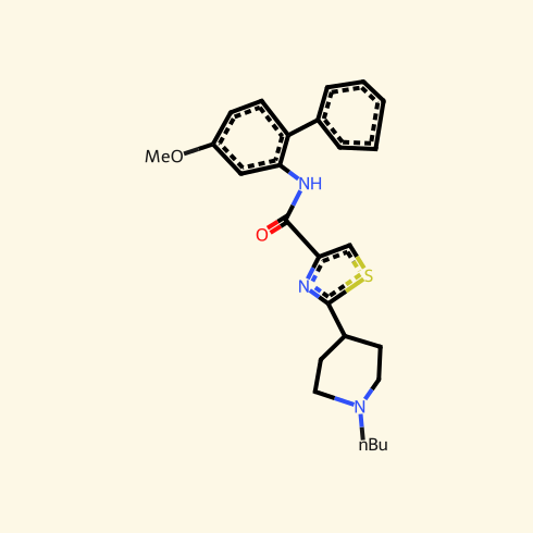 CCCCN1CCC(c2nc(C(=O)Nc3cc(OC)ccc3-c3ccccc3)cs2)CC1